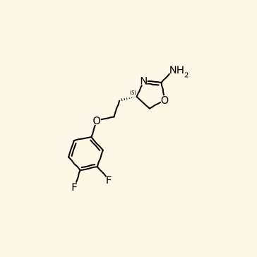 NC1=N[C@@H](CCOc2ccc(F)c(F)c2)CO1